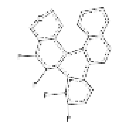 Fc1ccc2c3ccc4ccccc4c3c3c4ccccc4c(F)c(F)c3c2c1F